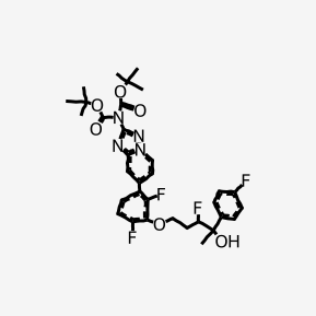 CC(C)(C)OC(=O)N(C(=O)OC(C)(C)C)c1nc2cc(-c3ccc(F)c(OCCC(F)C(C)(O)c4ccc(F)cc4)c3F)ccn2n1